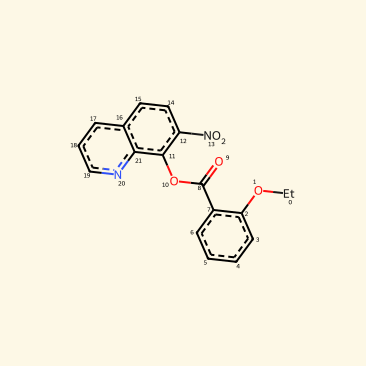 CCOc1ccccc1C(=O)Oc1c([N+](=O)[O-])ccc2cccnc12